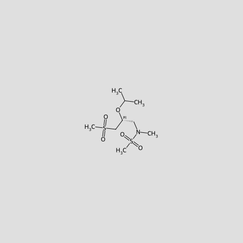 CC(C)O[C@H](CN(C)S(C)(=O)=O)CS(C)(=O)=O